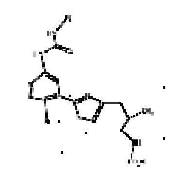 CCNC(=O)Nc1cc(-c2nc(CC(C)CNC(=O)O)cs2)c(Br)cn1